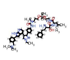 CCN1CC(c2ccnc3[nH]c(-c4cccc(CN(C)C)c4)cc23)C(c2ccc(NC(=O)N(C)CCCO[Si](C)(C)OCCNC(=O)C(CC(C)C)NC(=O)C(O)C(N)CCc3ccccc3)cc2)=N1